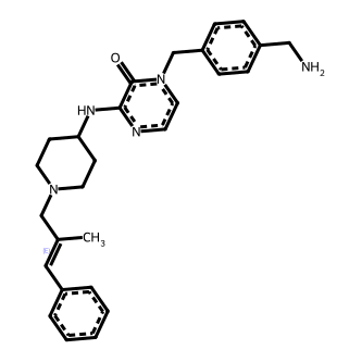 C/C(=C\c1ccccc1)CN1CCC(Nc2nccn(Cc3ccc(CN)cc3)c2=O)CC1